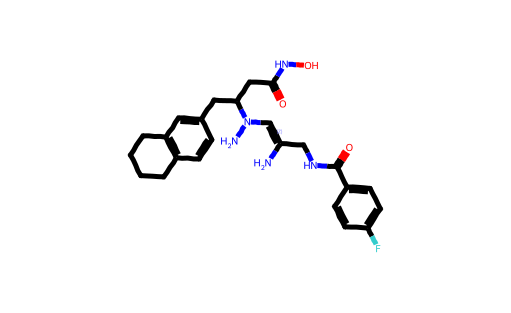 N/C(=C\N(N)C(CC(=O)NO)Cc1ccc2c(c1)CCCC2)CNC(=O)c1ccc(F)cc1